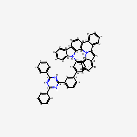 c1ccc(-c2nc(-c3ccccc3)nc(-c3cccc(-c4cccc(-n5c6ccccc6c6ccc7c8ccccc8c8cc9ccccc9n8c7c65)c4)c3)n2)cc1